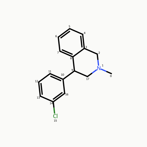 CN1Cc2ccccc2C(c2cccc(Cl)c2)C1